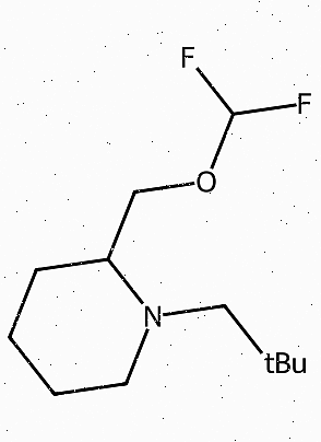 CC(C)(C)CN1CCCCC1COC(F)F